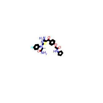 C[C@H](C(N)=O)N(c1ccc(F)cc1)c1nc(N)c(C(=O)c2ccc(OCC(=O)NC3CCCC3)cc2)s1